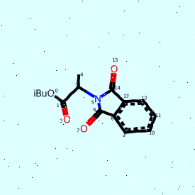 CC(C)COC(=O)C(C)N1C(=O)c2ccccc2C1=O